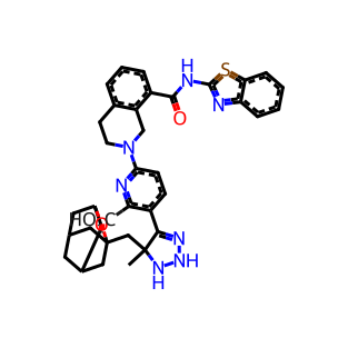 CC1(CC23CC4CC(CC(C4)O2)C3)NNN=C1c1ccc(N2CCc3cccc(C(=O)Nc4nc5ccccc5s4)c3C2)nc1C(=O)O